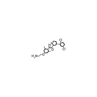 Cc1cc(OCCN)cc(C)c1NC(=O)c1cc(-c2cc(Cl)ccc2Cl)ccn1